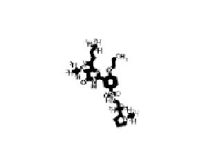 [2H]C([2H])([2H])CCc1nn(C([2H])([2H])[2H])c2c(=O)[nH]c(-c3cc(S(=O)(=O)NCC([2H])([2H])C4CCCN4C([2H])([2H])[2H])ccc3OCCC)nc12